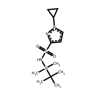 CC(C)(C)[Si](C)(C)NS(=O)(=O)c1ccn(C2CC2)n1